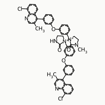 Cc1cnc2c(Cl)cccc2c1-c1cccc(Oc2cccc([N+]3([N+]4(c5cccc(Oc6cccc(-c7c(C)cnc8c(Cl)cccc78)c6)c5)CCN(C)C4=O)CCNC3=O)c2)c1